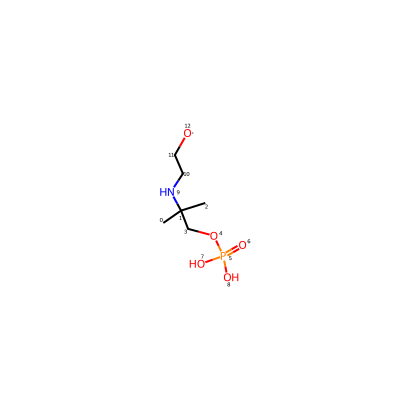 CC(C)(COP(=O)(O)O)NCC[O]